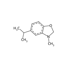 CC(C)c1ccc2c(c1)N(C)CO2